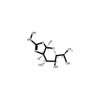 CCCNC1=N[C@@H]2[C@@H](O)[C@H](O)[C@@H]([C@H](O)C(F)(F)F)O[C@@H]2S1